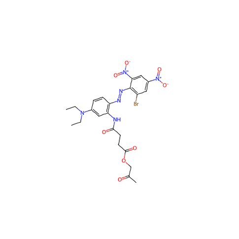 CCN(CC)c1ccc(/N=N/c2c(Br)cc([N+](=O)[O-])cc2[N+](=O)[O-])c(NC(=O)CCC(=O)OCC(C)=O)c1